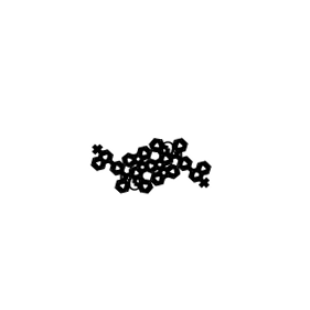 CC(C)(C)c1ccc(-c2ccc(N(c3ccccc3)c3cc4c(c5c3oc3ccccc35)-c3cc5c(cc3C43c4ccccc4-c4ccccc43)-c3c(cc(N(c4ccccc4)c4ccc(-c6ccc(C(C)(C)C)c7ccccc67)cc4)c4oc6ccccc6c34)C53c4ccccc4-c4ccccc43)cc2)c2ccccc12